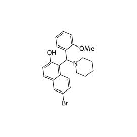 COc1ccccc1C(c1c(O)ccc2cc(Br)ccc12)N1CCCCC1